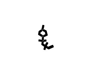 C=CC(C)(C)C[Si](C)(C)N1CCN(C)CC1